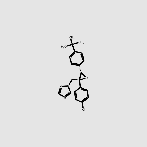 CC(C)(C)c1ccc([C@@H]2O[C@]2(Cn2cncn2)c2ccc(Cl)cc2)cc1